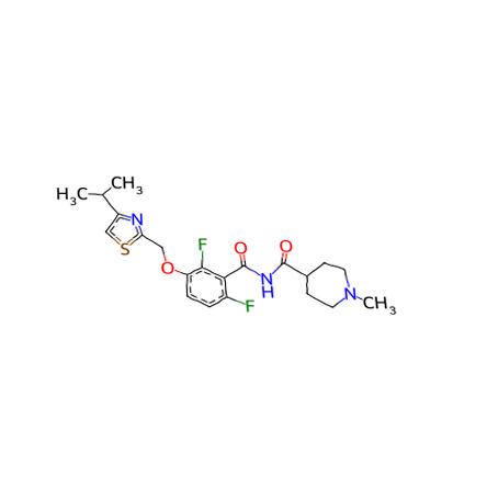 CC(C)c1csc(COc2ccc(F)c(C(=O)NC(=O)C3CCN(C)CC3)c2F)n1